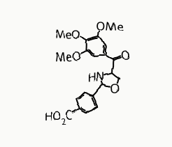 COc1cc(C(=O)C2COC(c3ccc(C(=O)O)cc3)N2)cc(OC)c1OC